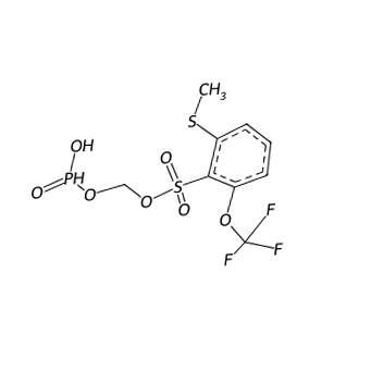 CSc1cccc(OC(F)(F)F)c1S(=O)(=O)OCO[PH](=O)O